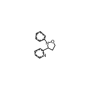 c1ccc(N2OCCC2c2ccccn2)cc1